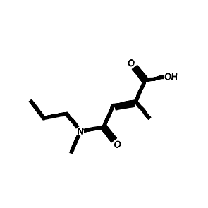 CCCN(C)C(=O)/C=C(\C)C(=O)O